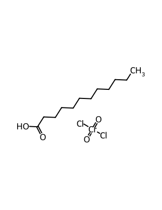 CCCCCCCCCCCC(=O)O.[O]=[Cr](=[O])([Cl])[Cl]